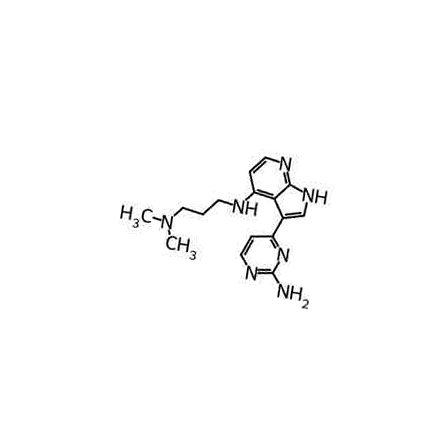 CN(C)CCCNc1ccnc2[nH]cc(-c3ccnc(N)n3)c12